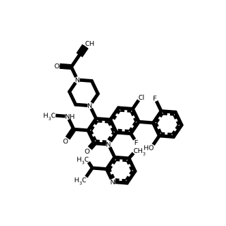 C#CC(=O)N1CCN(c2c(C(=O)NC)c(=O)n(-c3c(C)ccnc3C(C)C)c3c(F)c(-c4c(O)cccc4F)c(Cl)cc23)CC1